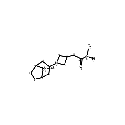 CCOC(=O)N1C2CCC1CC(N1CC(CC(=O)N(CC)CC)C1)C2